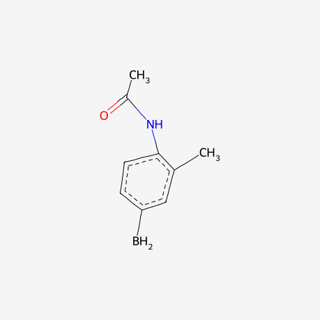 Bc1ccc(NC(C)=O)c(C)c1